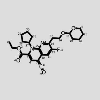 CCOC(=O)C1=CC(=C=O)c2cc(F)c(CCOC3CCCCO3)nc2N1C1CCCC1